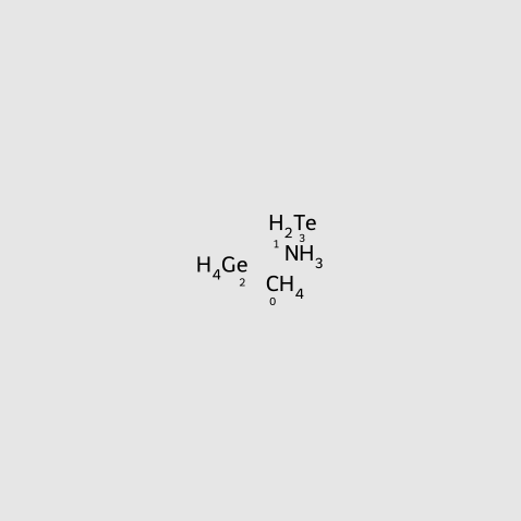 C.N.[GeH4].[TeH2]